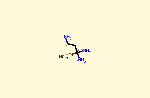 Cl.NCCC(N)(N)O